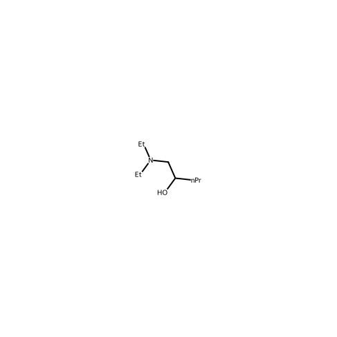 [CH2]CCC(O)CN(CC)CC